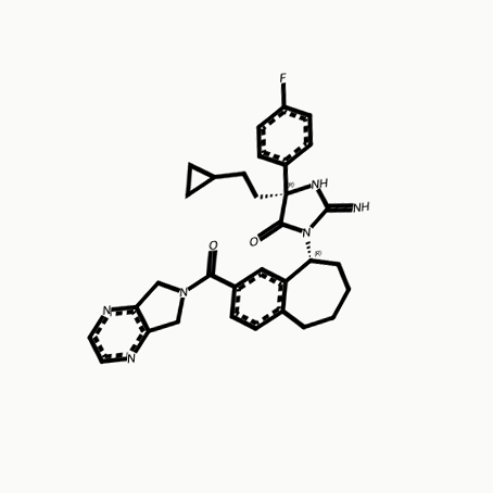 N=C1N[C@](CCC2CC2)(c2ccc(F)cc2)C(=O)N1[C@@H]1CCCCc2ccc(C(=O)N3Cc4nccnc4C3)cc21